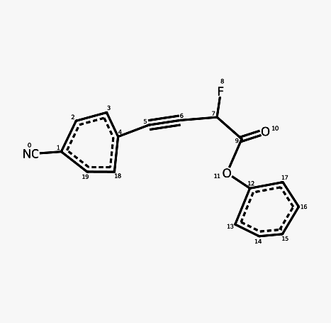 N#Cc1ccc(C#CC(F)C(=O)Oc2ccccc2)cc1